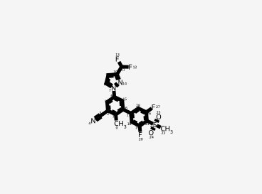 Cc1c(C#N)cc(-n2ccc(C(F)F)n2)cc1-c1cc(F)c(S(C)(=O)=O)c(F)c1